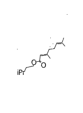 CC(C)=CCC/C(C)=C/C(=O)OCCC(C)C